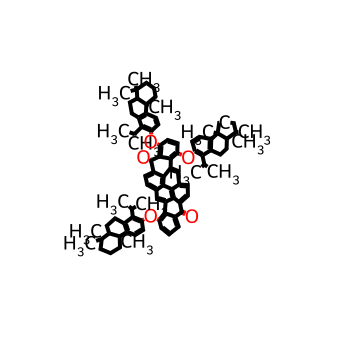 CC(C)c1c(Oc2ccc(Oc3ccc4c(c3C(C)C)CCC3C(C)(C)CCCC43C)c3c2c(=O)c2ccc4cc5c6c(Oc7ccc8c(c7C(C)C)CCC7C(C)(C)CCCC87C)cccc6c(=O)c6ccc7cc3c2c4c7c65)ccc2c1CCC1C(C)(C)CCCC21C